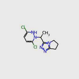 CC(c1nnc2n1CCC2)N1NC(Cl)=CC=C1Cl